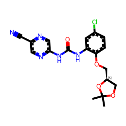 CC1(C)OC[C@H](COc2ccc(Cl)cc2NC(=O)Nc2cnc(C#N)cn2)O1